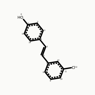 Oc1ccc(C=Cc2cccc(Cl)c2)cc1